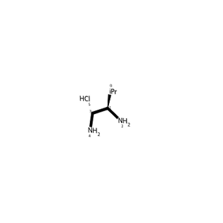 CC(C)[C@@H](N)CN.Cl